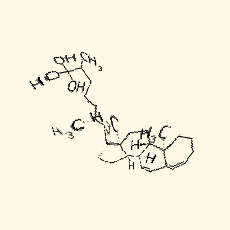 CC(CCC[C@@H](C)[C@H]1CC[C@H]2[C@@H]3C=CC4=CCCC[C@]4(C)[C@H]3CC[C@]12C)C(O)(O)O